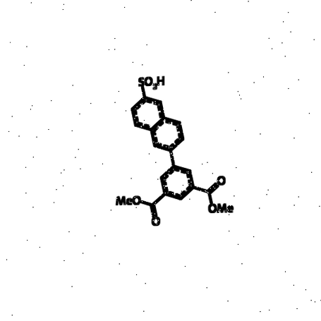 COC(=O)c1cc(C(=O)OC)cc(-c2ccc3cc(S(=O)(=O)O)ccc3c2)c1